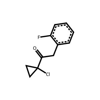 O=C(Cc1ccccc1F)C1(Cl)CC1